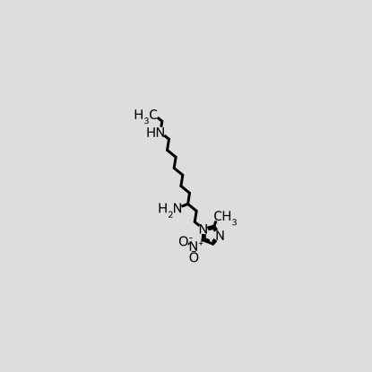 CCNCCCCCCCC(N)CCn1c([N+](=O)[O-])cnc1C